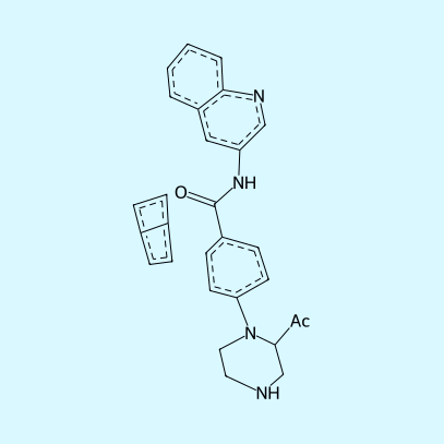 CC(=O)C1CNCCN1c1ccc(C(=O)Nc2cnc3ccccc3c2)cc1.c1cc2ccc1-2